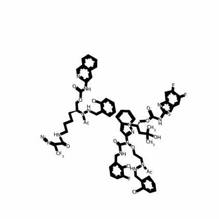 CC(=O)N(CCON(C(=O)NCc1cccc(F)c1Cl)C1=N[N+]2([C@H](COC(=O)Nc3nc4cc(F)c(F)cc4s3)CC(C)(C)O)C=CC=CC2=C1)NCc1ccccc1Cl.CC(=O)N(NCc1ccccc1Cl)[C@@H](CCCCNC(=O)C(=[N+]=[N-])C(F)(F)F)COC(=O)Nc1cc2ccccc2cn1